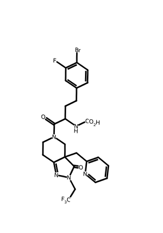 O=C(O)NC(CCc1ccc(Br)c(F)c1)C(=O)N1CCC2=NN(CC(F)(F)F)C(=O)C2(Cc2ccccn2)C1